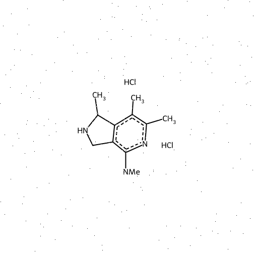 CNc1nc(C)c(C)c2c1CNC2C.Cl.Cl